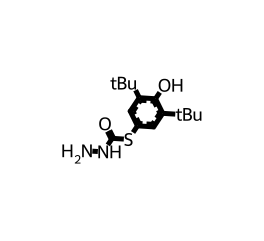 CC(C)(C)c1cc(SC(=O)NN)cc(C(C)(C)C)c1O